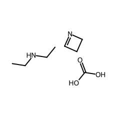 C1=NCC1.CCNCC.O=C(O)O